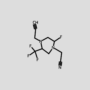 C#CCN1CC(F)N(CC#N)CC1C(F)(F)F